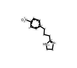 O=[N+]([O-])c1ccc(CCCC2=NCCN2)cc1